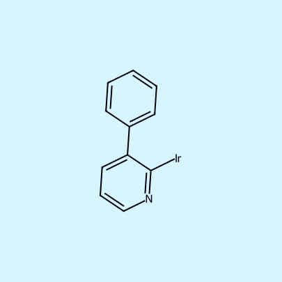 [Ir][c]1ncccc1-c1ccccc1